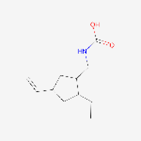 C=CC1CC(C=C)C(CNC(=O)O)C1